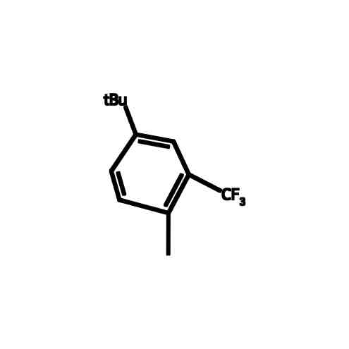 Cc1ccc(C(C)(C)C)cc1C(F)(F)F